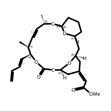 C=C/C=C/[C@@H]1OC(=O)C[C@@H]2C/C(=C\C(=O)OC)C[C@H](C[C@@H]3CCC[C@H](C[C@@H](C)/C=C/[C@@H]1C)O3)O2